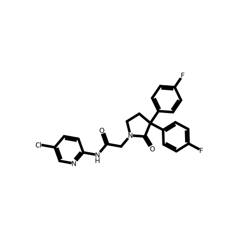 O=C(CN1CCC(c2ccc(F)cc2)(c2ccc(F)cc2)C1=O)Nc1ccc(Cl)cn1